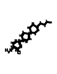 CCCCC1CCC(c2ccc(-c3ccc(N)c(Cl)n3)cc2)CC1